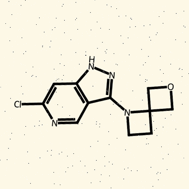 Clc1cc2[nH]nc(N3CCC34COC4)c2cn1